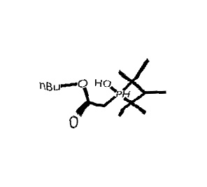 CCCCOC(=O)C[PH]1(O)C(C)(C)C(C)C1(C)C